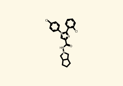 O=C(NN1CC2CCCC2C1)c1cn(-c2ccc(Cl)cc2)c(-c2ccccc2Cl)n1